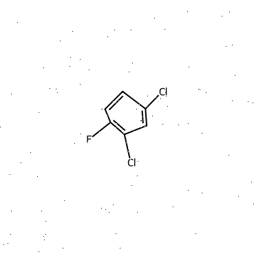 Fc1[c]cc(Cl)cc1Cl